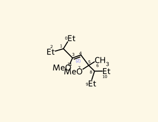 CCC(CC)/C(=C/C(C)(OC)C(CC)CC)OC